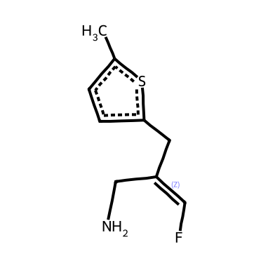 Cc1ccc(C/C(=C/F)CN)s1